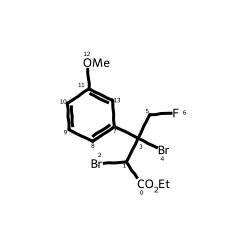 CCOC(=O)C(Br)C(Br)(CF)c1cccc(OC)c1